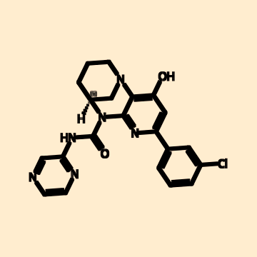 O=C(Nc1cnccn1)N1c2nc(-c3cccc(Cl)c3)cc(O)c2N2CCC[C@H]1C2